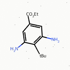 CCOC(=O)c1cc(N)c(C(C)(C)C)c(N)c1